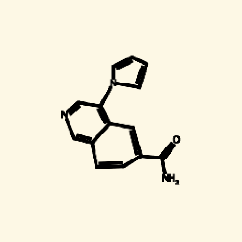 NC(=O)c1ccc2cncc(-n3cccc3)c2c1